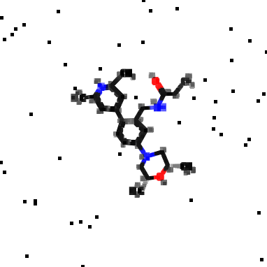 Cc1cc(-c2ccc(N3C[C@@H](C)O[C@@H](C)C3)cc2CNC(=O)CC(F)(F)F)cc(C)n1